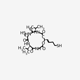 CC(C)[C@H]1NC(=O)C[C@@H](/C=C/CCS)OC(=O)CNC(=O)[C@@H](C(C)C)NC(=O)[C@H](CS)NC1=O